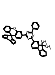 CC1(C)c2ccccc2-c2ccc(-c3nc(-c4ccccc4)nc(-c4ccc5c(c4)Oc4ccccc4C54c5ccccc5-c5ccccc54)n3)cc21